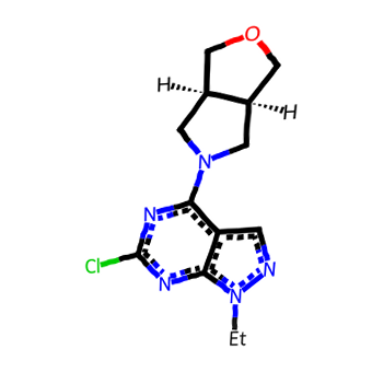 CCn1ncc2c(N3C[C@H]4COC[C@H]4C3)nc(Cl)nc21